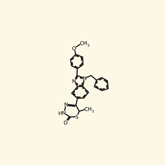 COc1ccc(-c2nc3cc(C4=NNC(=O)SC4C)ccc3n2Cc2ccccc2)cc1